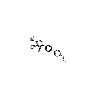 C/C=C/C1CC=C(c2ccc(-c3ccc(C4CO4)c(Cl)c3F)cc2)CC1